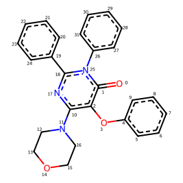 O=c1c(Oc2ccccc2)c(N2CCOCC2)nc(-c2ccccc2)n1-c1ccccc1